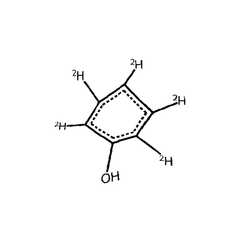 [2H]c1c([2H])c([2H])c(O)c([2H])c1[2H]